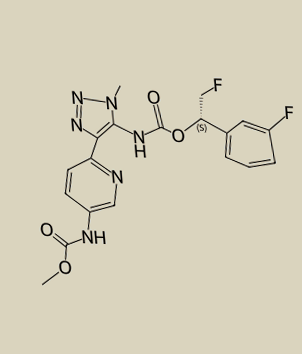 COC(=O)Nc1ccc(-c2nnn(C)c2NC(=O)O[C@H](CF)c2cccc(F)c2)nc1